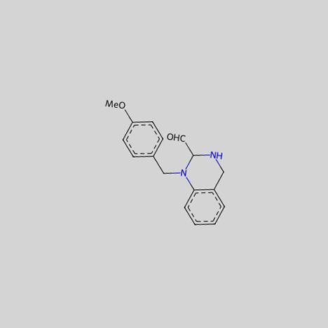 COc1ccc(CN2c3ccccc3CNC2C=O)cc1